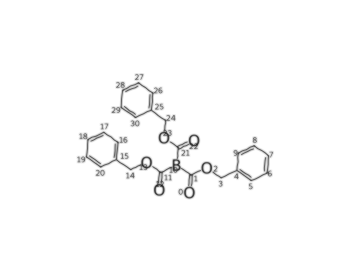 O=C(OCc1ccccc1)B(C(=O)OCc1ccccc1)C(=O)OCc1ccccc1